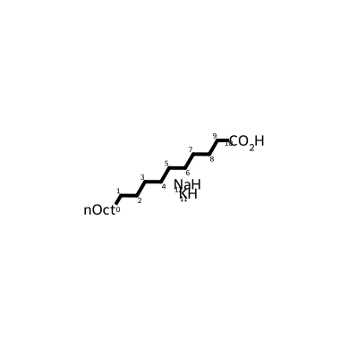 CCCCCCCCCCCCCCCCCC(=O)O.[KH].[NaH]